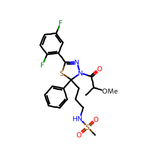 COC(C)C(=O)N1N=C(c2cc(F)ccc2F)SC1(CCCNS(C)(=O)=O)c1ccccc1